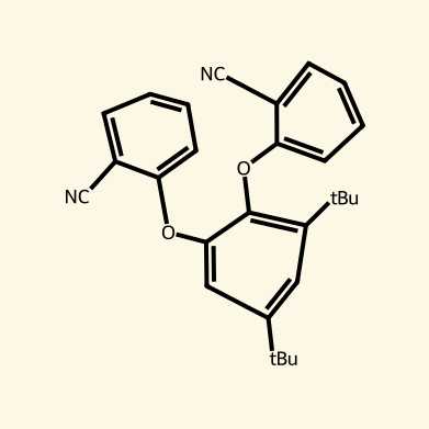 CC(C)(C)c1cc(Oc2ccccc2C#N)c(Oc2ccccc2C#N)c(C(C)(C)C)c1